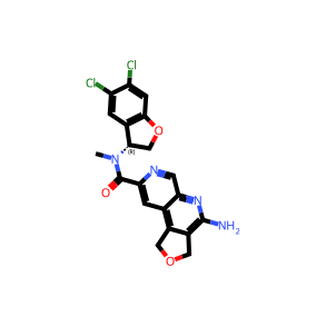 CN(C(=O)c1cc2c3c(c(N)nc2cn1)COC3)[C@H]1COc2cc(Cl)c(Cl)cc21